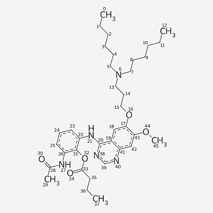 CCCCCCN(CCCCCC)CCCOc1cc2c(Nc3cccc(NC(C)=O)c3OC(=O)CCC)ncnc2cc1OC